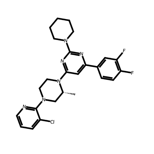 C[C@@H]1CN(c2ncccc2Cl)CCN1c1cc(-c2ccc(F)c(F)c2)nc(N2CCCCC2)n1